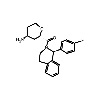 N[C@H]1CCO[C@H](C(=O)N2CCc3ccccc3[C@@H]2c2ccc(F)cc2)C1